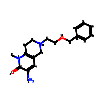 Cn1c2c(cc(N)c1=O)CN(CCOCc1ccccc1)CC2